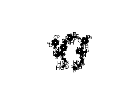 COc1ccc(CNc2nccc3c2c(-c2ccc(C(=O)Nc4cc(C(F)(F)F)ccn4)cc2)nn3CC[C@@H](C)NC(=O)O)c(OC)c1.COc1ccc(CNc2nccc3c2c(I)nn3CC[C@@H](C)NC(=O)OC(C)(C)C)c(OC)c1